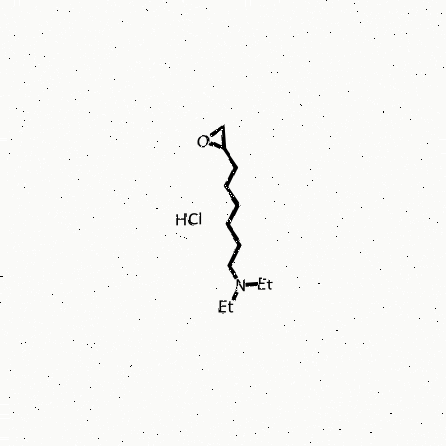 CCN(CC)CCCCCCC1CO1.Cl